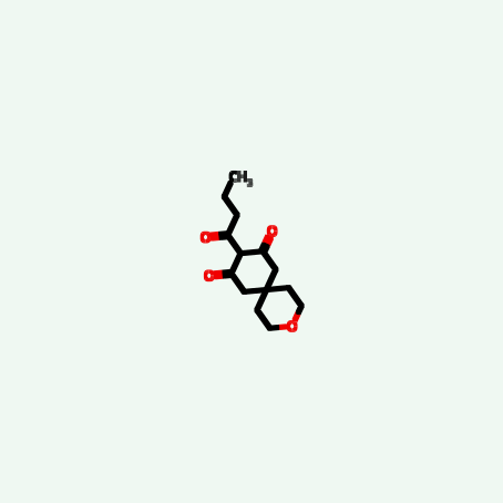 CCCC(=O)C1C(=O)CC2(CCOCC2)CC1=O